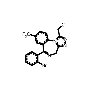 FC(F)(F)c1ccc2c(c1)C(c1ccccc1Br)=NCc1nnc(CCl)n1-2